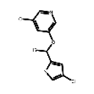 SC(Oc1cncc(Cl)c1)c1cc(Cl)cs1